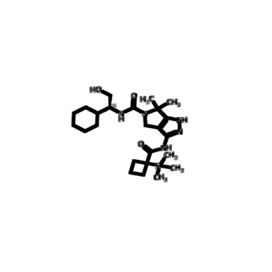 CC1(C)c2[nH]nc(NC(=O)C3([Si](C)(C)C)CCC3)c2CN1C(=O)N[C@H](CO)C1CCCCC1